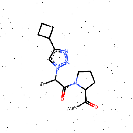 CNC(=O)[C@@H]1CCCN1C(=O)C(C(C)C)n1cc(C2CCC2)nn1